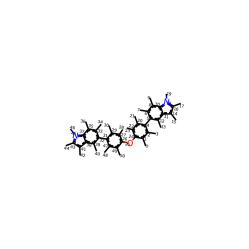 Cc1c(C)c(-c2c(C)c(C)c3c(c2C)c(C)c(C)n3C)c(C)c(C)c1Oc1c(C)c(C)c(-c2c(C)c(C)c3c(c2C)c(C)c(C)n3C)c(C)c1C